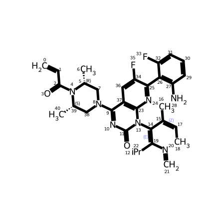 C=CC(=O)N1[C@H](C)CN(c2nc(=O)n(C(/C(C)=C\C)=C(/N=C)C(C)C)c3nc(-c4c(N)cccc4F)c(F)cc23)C[C@@H]1C